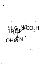 Cc1ccc(N(c2ccc(/C=C/c3ccc(/C=C(\C#N)OC=O)cc3)cc2)c2ccc(/C=C/c3ccc(/C=C(\C#N)C(=O)O)cc3)cc2)c(C)c1